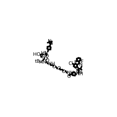 Cc1ncsc1-c1ccc(CNC(=O)[C@@H]2C[C@@H](O)CN2C(=O)[C@@H](NC(=O)CNCCOCCOCCOCCNC(=O)c2ccc(Nc3ncc4c(n3)-c3ccc(Cl)cc3C(c3c(F)cccc3F)=NC4)cc2)C(C)(C)C)cc1